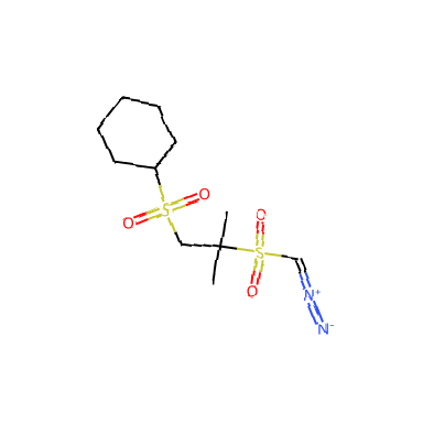 CC(C)(CS(=O)(=O)C1CCCCC1)S(=O)(=O)C=[N+]=[N-]